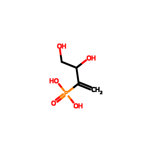 C=C(C(O)CO)P(=O)(O)O